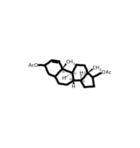 CC(=O)OC1C=C[C@@]2(C)C(CC[C@@H]3[C@@H]2CC[C@]2(C)C(OC(C)=O)CC[C@@H]32)C1